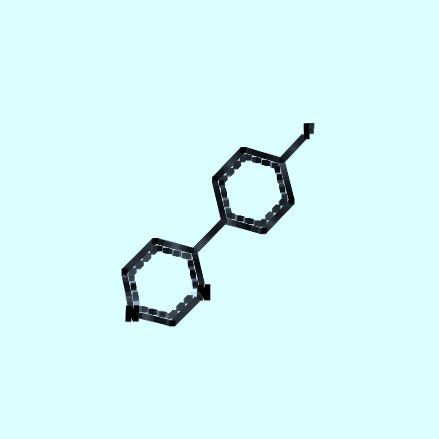 Fc1ccc(-c2ccncn2)cc1